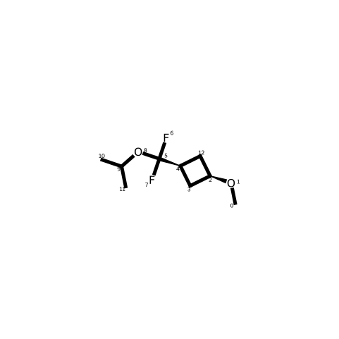 CO[C@H]1C[C@@H](C(F)(F)OC(C)C)C1